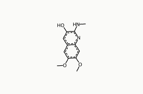 CNc1nc2cc(OC)c(OC)cc2cc1O